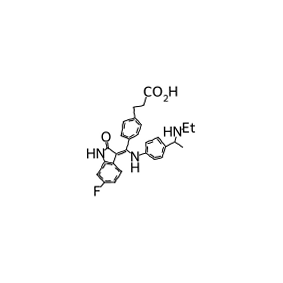 CCNC(C)c1ccc(NC(=C2C(=O)Nc3cc(F)ccc32)c2ccc(CCC(=O)O)cc2)cc1